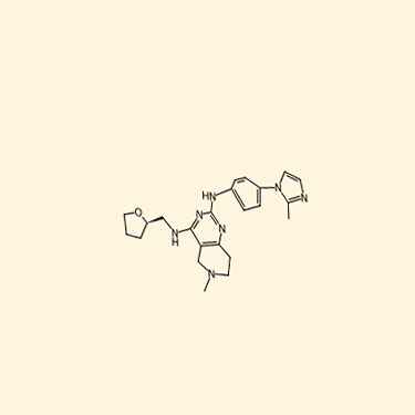 Cc1nccn1-c1ccc(Nc2nc3c(c(NC[C@H]4CCCO4)n2)CN(C)CC3)cc1